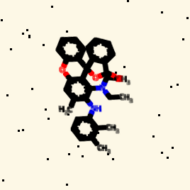 CCN(CC)c1c(Nc2cccc(C)c2C)c(C)cc2c1C1(OC(=O)c3ccccc31)c1ccccc1O2